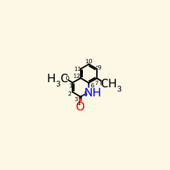 Cc1cc(=O)[nH]c2c(C)[c]ccc12